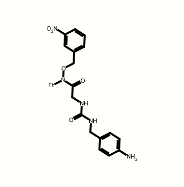 CCN(OCc1cccc([N+](=O)[O-])c1)C(=O)CNC(=O)NCc1ccc(N)cc1